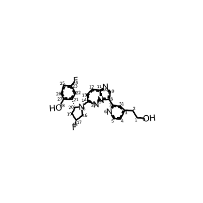 OCCc1ccnc(-c2cnc3ccc(N4C[C@@H](F)C[C@@H]4c4cc(F)ccc4O)nn23)c1